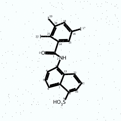 O=C(Nc1cccc2c(S(=O)(=O)O)cccc12)c1cc(I)cc(I)c1I